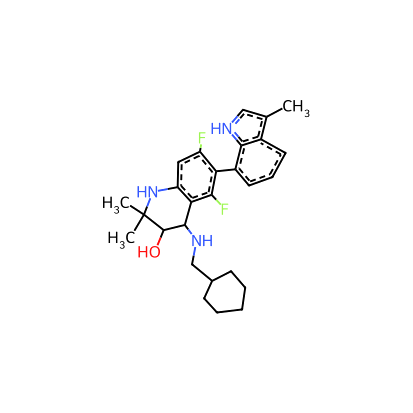 Cc1c[nH]c2c(-c3c(F)cc4c(c3F)C(NCC3CCCCC3)C(O)C(C)(C)N4)cccc12